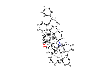 c1ccc(-c2ccc3c(c2)C2(c4ccccc4-c4ccccc42)c2cc(N(c4cccc5c4C4(c6ccccc6-c6ccccc64)c4ccccc4-5)c4cccc5oc6ccccc6c45)ccc2-3)cc1